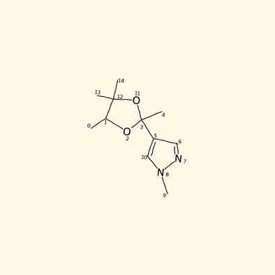 CC1OC(C)(c2cnn(C)c2)OC1(C)C